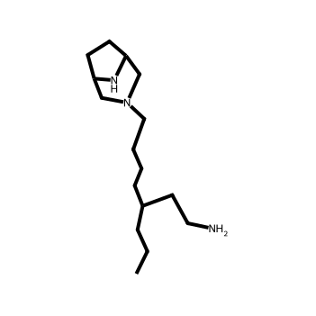 CCCC(CCN)CCCCN1CC2CCC(C1)N2